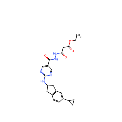 CCOC(=O)CC(=O)NNC(=O)c1cnc(NC2Cc3ccc(C4CC4)cc3C2)nc1